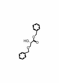 O=C(OCc1ccccc1)[C@@H](O)COCc1ccccc1